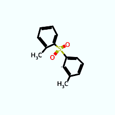 Cc1[c]c(S(=O)(=O)c2ccccc2C)ccc1